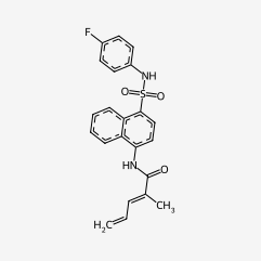 C=CC=C(C)C(=O)Nc1ccc(S(=O)(=O)Nc2ccc(F)cc2)c2ccccc12